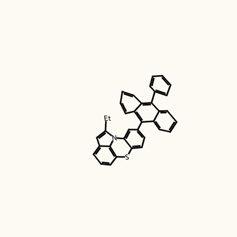 CCc1cc2cccc3c2n1-c1cc(-c2c4ccccc4c(-c4ccccc4)c4ccccc24)ccc1S3